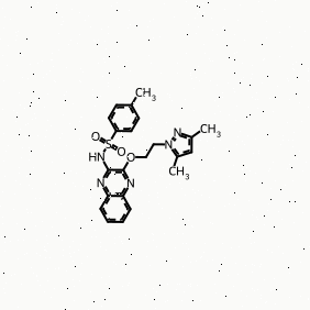 Cc1ccc(S(=O)(=O)Nc2nc3ccccc3nc2OCCn2nc(C)cc2C)cc1